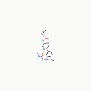 CC(Nc1cc(-c2cnc(NC(=O)[C@@H]3C[C@H]3C)cn2)cnc1C#N)C(=O)N(C)C